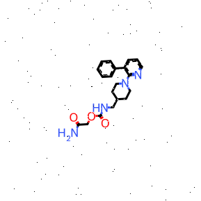 NC(=O)COC(=O)NCC1CCN(c2ncccc2-c2ccccc2)CC1